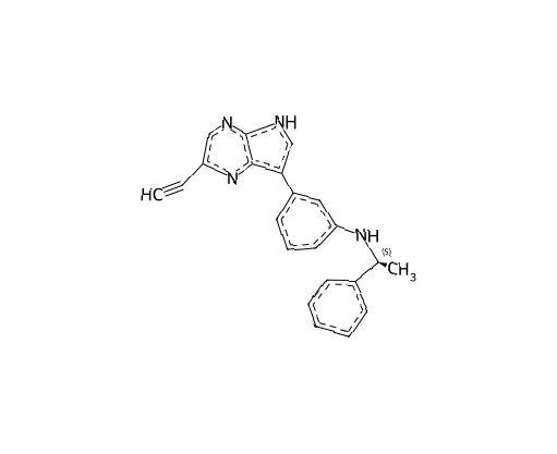 C#Cc1cnc2[nH]cc(-c3cccc(N[C@@H](C)c4ccccc4)c3)c2n1